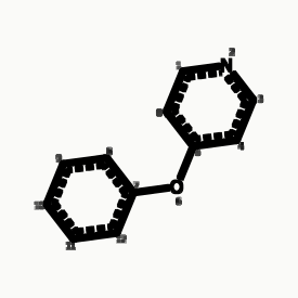 [c]1cnccc1Oc1ccccc1